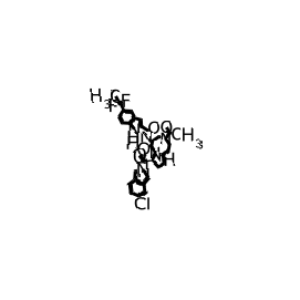 CC(=O)N1CC[C@H]2CC[C@@H](C(=O)N3Cc4ccc(Cl)cc4C3)N2C(=O)[C@@H](NC(=O)c2cc3cc(C(C)(F)F)ccc3[nH]2)C1